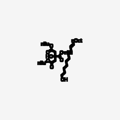 CCCCCCCCC=CCCCCCCCCO.CCCCOC(=O)CC(O)(CC(=O)OCCCC)C(=O)OCCCC